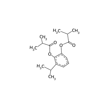 CC(C)C(=O)Oc1cccc(C(C)C)c1OC(=O)C(C)C